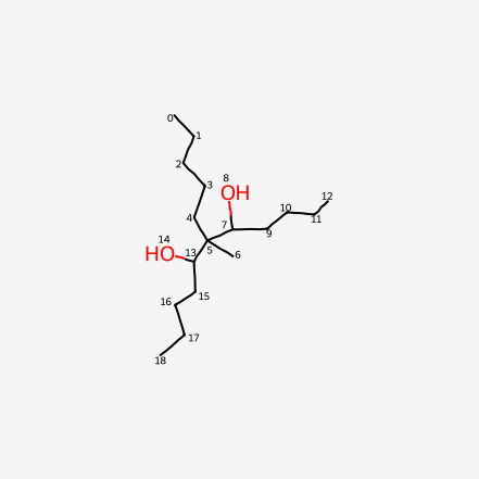 CCCCCC(C)(C(O)CCCC)C(O)CCCC